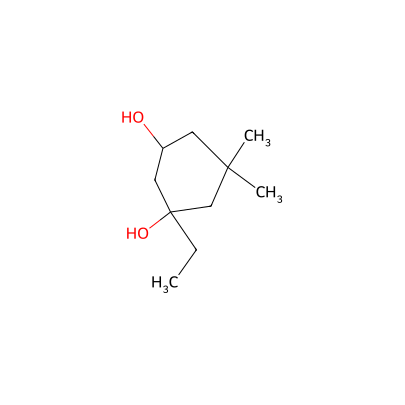 CCC1(O)CC(O)CC(C)(C)C1